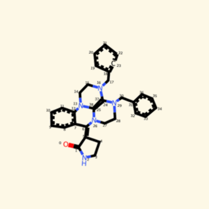 O=C1NCCC1=C(c1ccccc1N1CCN(Cc2ccccc2)CC1)N1CCN(Cc2ccccc2)CC1